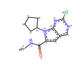 CCCNC(=O)c1cc2cnc(Cl)nc2n1C1CCCC1